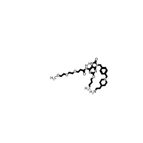 CCCCOc1nc(NC(=O)CCOCCOCCOC)c2[nH]c(=O)n(Cc3ccc(CN4CCC(CCN)CC4)cc3)c2n1